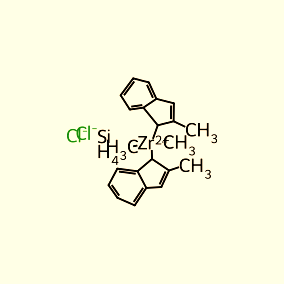 CC1=Cc2ccccc2[CH]1[Zr+2]([CH3])([CH3])[CH]1C(C)=Cc2ccccc21.[Cl-].[Cl-].[SiH4]